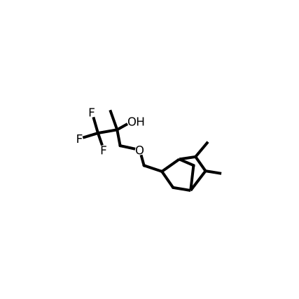 CC1C2CC(COCC(C)(O)C(F)(F)F)C(C2)C1C